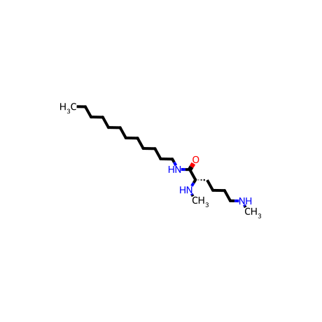 CCCCCCCCCCCCNC(=O)[C@H](CCCCNC)NC